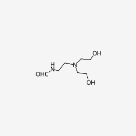 O=[C]NCCN(CCO)CCO